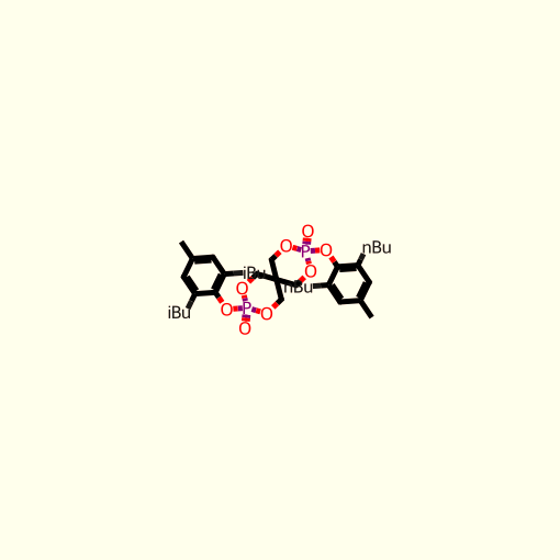 CCCCc1cc(C)cc(CCCC)c1OP1(=O)OCC2(CO1)COP(=O)(Oc1c(C(C)CC)cc(C)cc1C(C)CC)OC2